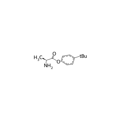 C[C@H](N)C(=O)Oc1ccc(C(C)(C)C)cc1